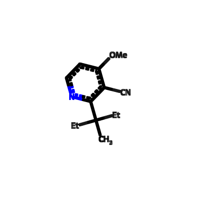 CCC(C)(CC)c1nccc(OC)c1C#N